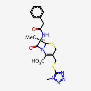 CO[C@]1(NC(=O)Cc2ccccc2)C(=O)N2C(C(=O)O)=C(CSc3nnnn3C)CSC21